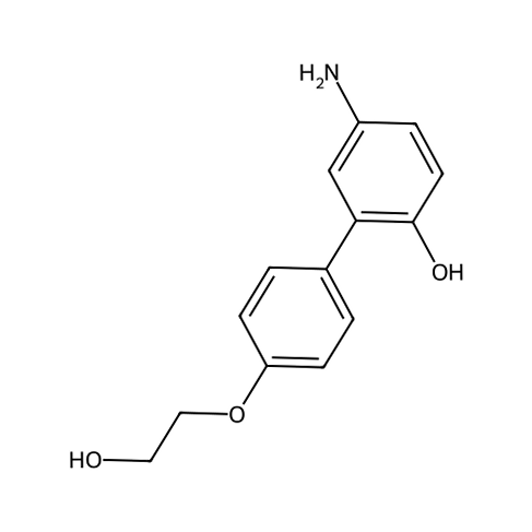 Nc1ccc(O)c(-c2ccc(OCCO)cc2)c1